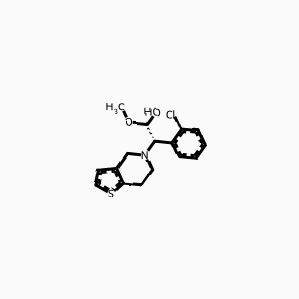 COC(O)[C@H](c1ccccc1Cl)N1CCc2sccc2C1